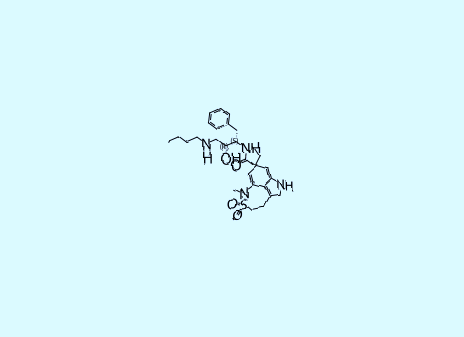 CCCCNC[C@@H](O)[C@H](Cc1ccccc1)NC(=O)C1(CC)C=C2NCC3=C2C(=C1)N(C)S(=O)(=O)CC3